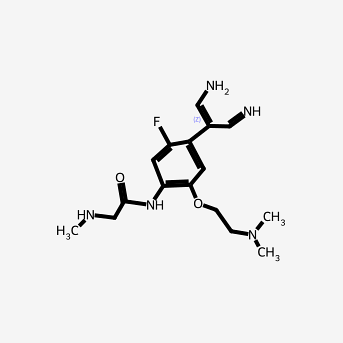 CNCC(=O)Nc1cc(F)c(/C(C=N)=C/N)cc1OCCN(C)C